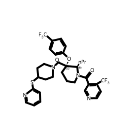 CCC[C@H]1N(C(=O)c2cnccc2C(F)(F)F)CCC[C@@]1(Oc1ccc(C(F)(F)F)cc1)C(=O)N1CCC(Sc2ccccn2)CC1